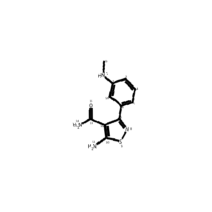 CNc1cccc(-c2nsc(N)c2C(N)=O)c1